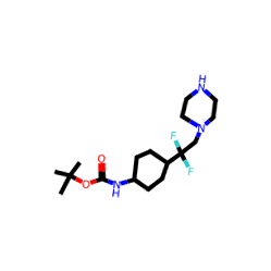 CC(C)(C)OC(=O)NC1CCC(C(F)(F)CN2CCNCC2)CC1